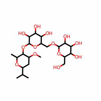 COC1CC(C(C)C)OC(C)C1OC1OC(COC2OC(CO)C(O)C(O)C2O)C(O)C(O)C1O